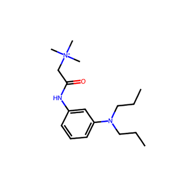 CCCN(CCC)c1cccc(NC(=O)C[N+](C)(C)C)c1